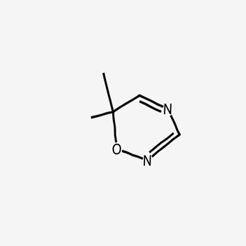 CC1(C)C=NC=NO1